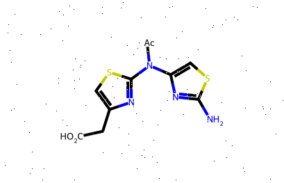 CC(=O)N(c1csc(N)n1)c1nc(CC(=O)O)cs1